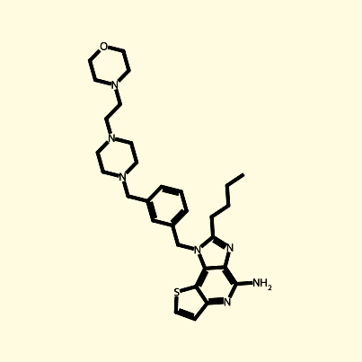 CCCCc1nc2c(N)nc3ccsc3c2n1Cc1cccc(CN2CCN(CCN3CCOCC3)CC2)c1